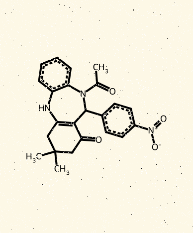 CC(=O)N1c2ccccc2NC2=C(C(=O)CC(C)(C)C2)C1c1ccc([N+](=O)[O-])cc1